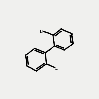 [Li][c]1ccccc1-c1cccc[c]1[Li]